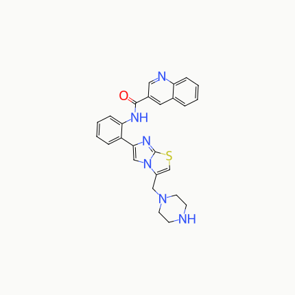 O=C(Nc1ccccc1-c1cn2c(CN3CCNCC3)csc2n1)c1cnc2ccccc2c1